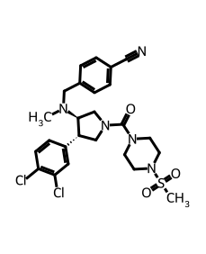 CN(Cc1ccc(C#N)cc1)[C@H]1CN(C(=O)N2CCN(S(C)(=O)=O)CC2)C[C@@H]1c1ccc(Cl)c(Cl)c1